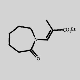 CCOC(=O)C(C)=CN1CCCCCC1=O